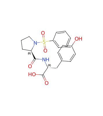 O=C(N[C@H](Cc1ccc(O)cc1)C(=O)O)[C@H]1CCCN1S(=O)(=O)c1ccccc1